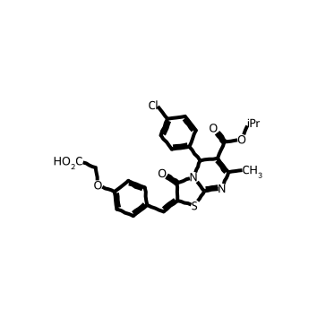 CC1=C(C(=O)OC(C)C)C(c2ccc(Cl)cc2)n2c(sc(=Cc3ccc(OCC(=O)O)cc3)c2=O)=N1